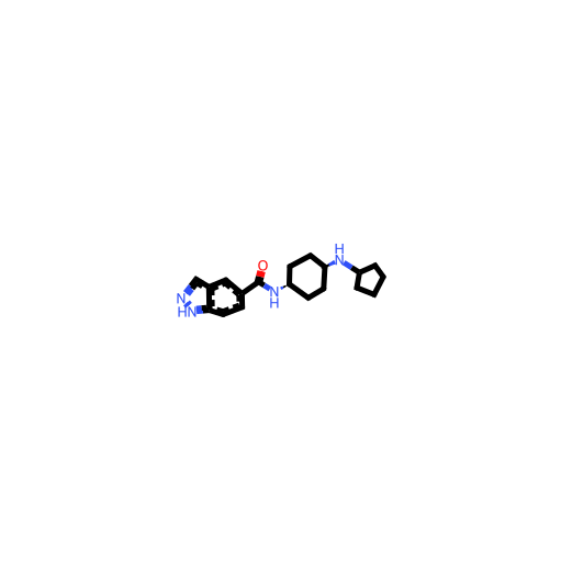 O=C(N[C@H]1CC[C@H](NC2CCCC2)CC1)c1ccc2[nH]ncc2c1